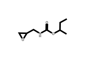 CCC(C)OC(=O)NCC1CO1